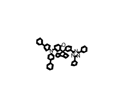 c1ccc(-c2ccc(N(c3ccc(-c4ccccc4)cc3)c3ccc4c(c3)C3(c5cc(-c6nc(-c7ccccc7)nc(-c7ccccc7)n6)ccc5O4)c4ccccc4-c4ccccc43)cc2)cc1